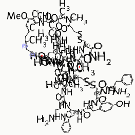 COc1cc2cc(c1Cl)N(C)C(=O)CC1(OC(=O)[C@H](C)N(C)C(=O)CCSSC[C@H](NC(=O)[C@H](C)NC(=O)[C@H](C)NC(=O)[C@@H](NC(=O)[C@@H]3CSSC[C@H](NC(=O)[C@H](N)Cc4ccccc4)C(=O)N[C@@H](Cc4ccc(O)cc4)C(=O)N[C@H](Cc4c[nH]c5ccccc45)C(=O)N[C@@H](CCCCN)C(=O)N[C@@H]([C@@H](C)O)C(=O)N3)[C@@H](C)O)C(N)=O)O[C@@H]([C@H](C)[C@@H]3C[C@@](O)(NC(=O)O3)[C@H](OC)/C=C/C=C(\C)C2)[C@@H]1C